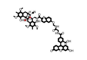 COc1c(C)c(OC)c2c(c1O)[C@@H]1[C@@H]3Cc4c(OC)c(C)c(OC)c(O)c4[C@H](CNC(=O)c4ccc5cc(OCNC(=O)CNC(=O)c6ccc(-c7c8ccc(=O)cc-8oc8cc(O)ccc78)c(C(=O)O)c6)ccc5n4)N3[C@@H](C#N)[C@H](C2)N1C